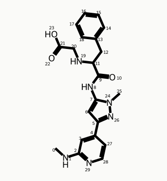 CNc1cc(-c2cc(NC(=O)C(Cc3ccccc3)NCC(=O)O)n(C)n2)ccn1